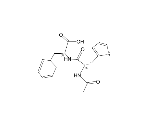 CC(=O)N[C@@H](Cc1cccs1)C(=O)N[C@@H](CC1C=CC=CC1)C(=O)O